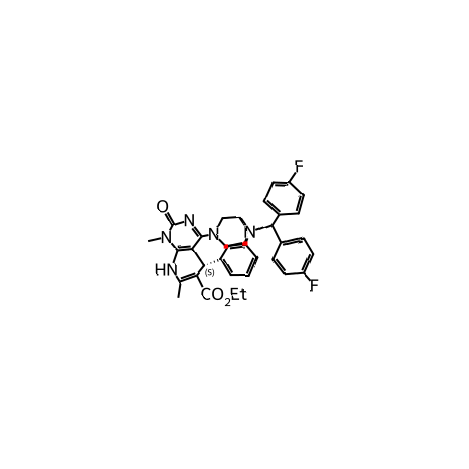 CCOC(=O)C1=C(C)Nc2c(c(N3CCN(C(c4ccc(F)cc4)c4ccc(F)cc4)CC3)nc(=O)n2C)[C@@H]1c1ccccc1